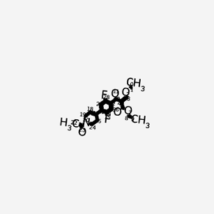 CCO/C=C(/C(=O)OCC)C(=O)c1cc(F)c(C2=CCN(C(C)=O)CC2)cc1F